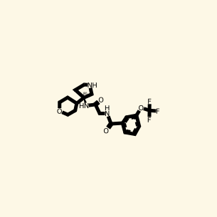 O=C(CNC(=O)c1cccc(OC(F)(F)F)c1)N[C@@]1(C2CCOCC2)CCNC1